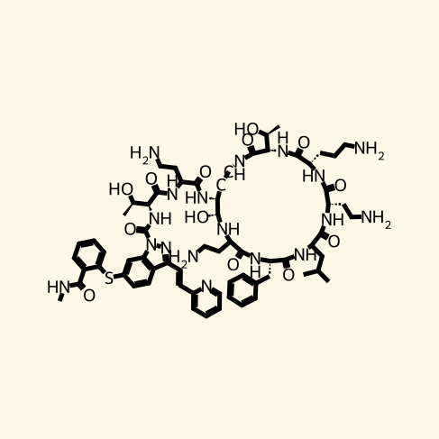 CNC(=O)c1ccccc1Sc1ccc2c(/C=C/c3ccccn3)nn(C(=O)N[C@@H](C(=O)NC(CCN)C(=O)N[C@@H]3CCNC(=O)[C@H]([C@H](C)O)NC(=O)[C@H](CCCN)NC(=O)[C@H](CCN)NC(=O)C(CC(C)C)NC(=O)[C@H](Cc4ccccc4)NC(=O)C(CCN)N[C@@H]3O)[C@@H](C)O)c2c1